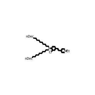 CCCCCCCCCCCCCCCCCCCCN(CCCCCCCCCCCCCCCCCCCC)c1ccc(C=Cc2cc[n+](CC)cc2)cc1Cl